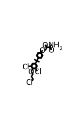 CC(C)(c1ccc(OCC(=O)C(N)=O)cc1)c1cc(Cl)c(OCCCCl)c(Cl)c1